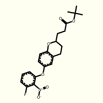 CC(C)(C)OC(=O)CCC1CCc2cc(Oc3cccc(F)c3[N+](=O)[O-])ccc2O1